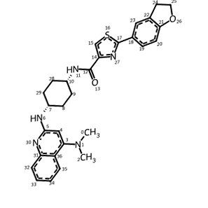 CN(C)c1cc(N[C@H]2CC[C@@H](NC(=O)c3csc(-c4ccc5c(c4)CCO5)n3)CC2)nc2ccccc12